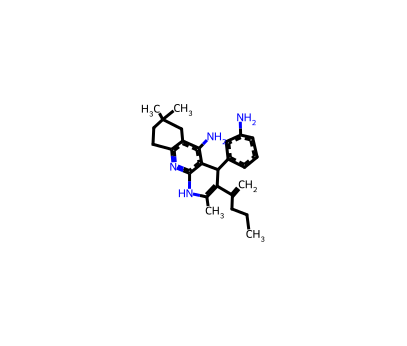 C=C(CCC)C1=C(C)Nc2nc3c(c(N)c2C1c1cccc(N)c1)CC(C)(C)CC3